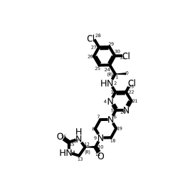 C[C@@H](Nc1nc(N2CCN(C(=O)[C@H]3CNC(=O)N3)CC2)ncc1Cl)c1ccc(Cl)cc1Cl